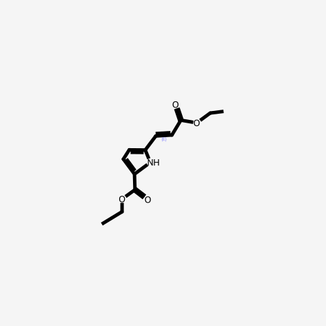 CCOC(=O)/C=C/c1ccc(C(=O)OCC)[nH]1